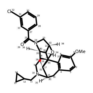 COc1ccc2c(c1)[C@]13CCN(CC4CC4)[C@H](C2)[C@]12CC[C@@H]1[C@H]3[C@@H](CN1C(=O)c1cccc(Cl)c1)O2